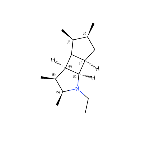 CCN1[C@H]2[C@H](C3[C@@H](C)[C@@H](C)C[C@H]32)[C@H](C)[C@@H]1C